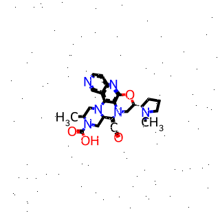 CC1CN2c3c4c(nc5ccncc35)OC([C@@H]3CCCN3C)CN4C(=C=O)C2CN1C(=O)O